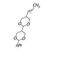 C/C=C/C1COC(C2COC(CCC)OC2)OC1